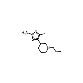 CCCN1CCCC(c2sc(N)nc2C)C1